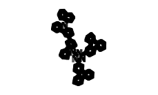 c1ccc2c(-n3c4ccccc4c4cc(-c5ccc6c(c5)c5ccccc5n6-c5nc(-c6ccc7c8ccccc8c8ccccc8c7c6)nc(-c6ccc7c8ccccc8c8ccccc8c7c6)n5)ccc43)cccc2c1